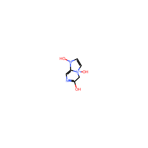 OC1=NC=C2N(O)C=C[N+]2(O)C1